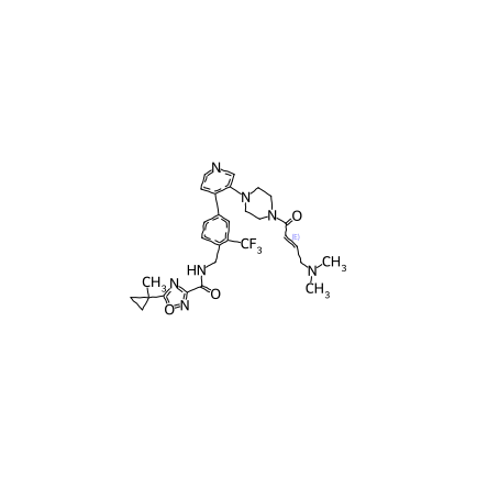 CN(C)C/C=C/C(=O)N1CCN(c2cnccc2-c2ccc(CNC(=O)c3noc(C4(C)CC4)n3)c(C(F)(F)F)c2)CC1